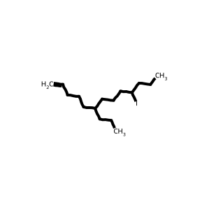 C=CCCCC(CCC)CCCC(I)CCC